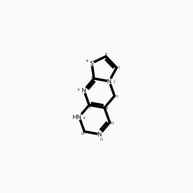 C1=CN2CC3=C(N=C2S1)NCN=C3